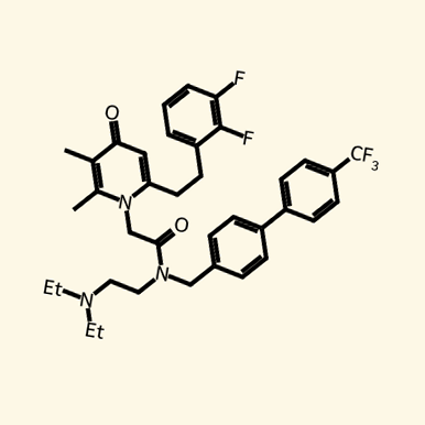 CCN(CC)CCN(Cc1ccc(-c2ccc(C(F)(F)F)cc2)cc1)C(=O)Cn1c(CCc2cccc(F)c2F)cc(=O)c(C)c1C